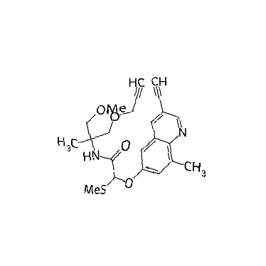 C#CCOCC(C)(COC)NC(=O)C(Oc1cc(C)c2ncc(C#C)cc2c1)SC